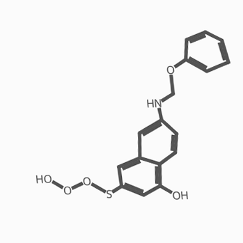 OOOSc1cc(O)c2ccc(NCOc3ccccc3)cc2c1